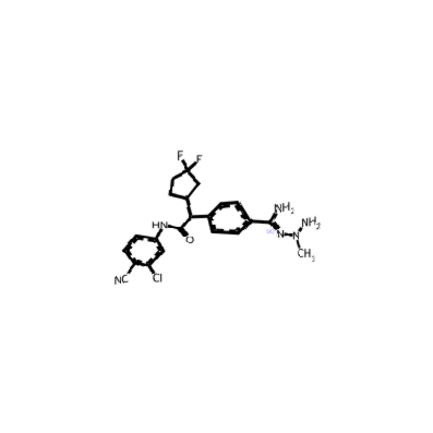 CN(N)/N=C(\N)c1ccc(C(C(=O)Nc2ccc(C#N)c(Cl)c2)C2CCC(F)(F)C2)cc1